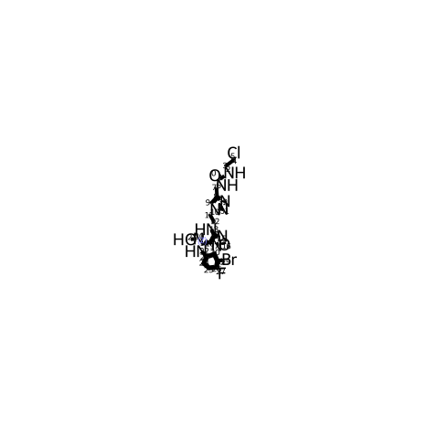 O=C(NCCCl)NCc1cn(CCNc2nonc2/C(=N/O)Nc2ccc(F)c(Br)c2)nn1